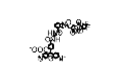 CN(C)c1ccc2c(-c3ccc(C(=O)NCCNC(=O)c4cccc5c4CN(C(=O)C[C@@H]4C[C@@H](C(=O)N6CC(F)(F)C[C@H]6C#N)NC4=O)C5)cc3C(=O)[O-])c3ccc(=[N+](C)C)cc-3oc2c1